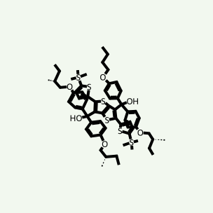 CCCCOc1ccc(C(O)(c2ccc(OC[C@H](C)CC)cc2)c2c(-c3ccc(S(C)(C)C)s3)sc3c(C(O)(c4ccc(OC[C@H](C)CC)cc4)c4ccc(OC[C@@H](C)CC)cc4)c(-c4ccc(S(C)(C)C)s4)sc23)cc1